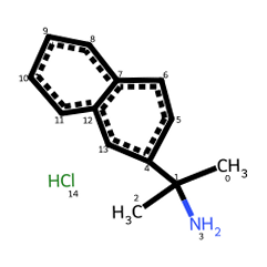 CC(C)(N)c1ccc2ccccc2c1.Cl